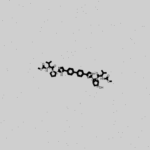 COC(=O)N[C@H](C(=O)N1CCC[C@H]1c1ncc(-c2ccc(-c3ccc(-c4c[nH]c([C@@H]5C6CC([C@H](O)C6)N5C(=O)[C@@H](NC(=O)OC)C(C)C)n4)cc3)cc2)[nH]1)C(C)C